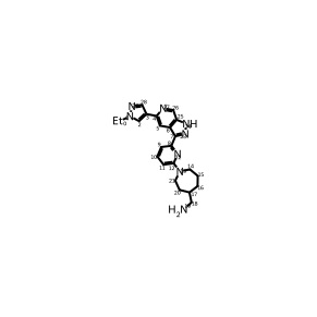 CCn1cc(-c2cc3c(-c4cccc(N5CCCC(CN)CC5)n4)n[nH]c3cn2)cn1